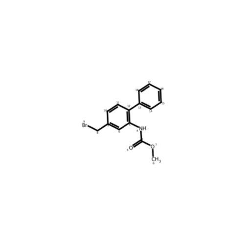 COC(=O)Nc1cc(CBr)ccc1-c1ccccc1